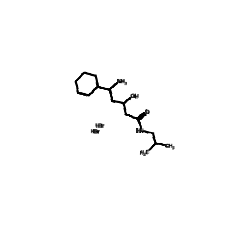 Br.Br.CC(C)CNC(=O)CC(O)CC(N)C1CCCCC1